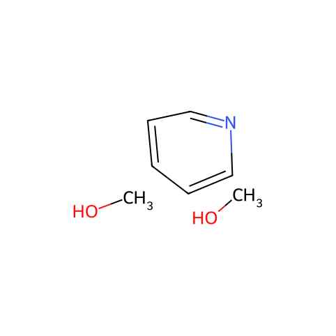 CO.CO.c1ccncc1